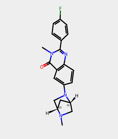 CN1C[C@@H]2C[C@H]1CN2c1ccc2nc(-c3ccc(F)cc3)n(C)c(=O)c2c1